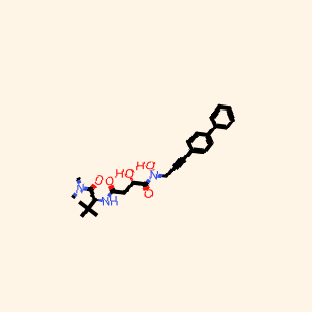 CN(C)C(=O)[C@@H](NC(=O)C[C@H](O)C(=O)N(O)CC#Cc1ccc(-c2ccccc2)cc1)C(C)(C)C